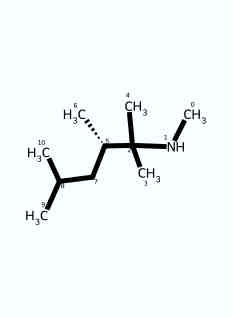 CNC(C)(C)[C@@H](C)CC(C)C